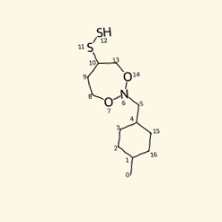 CC1CCC(CN2OCCC(SS)CO2)CC1